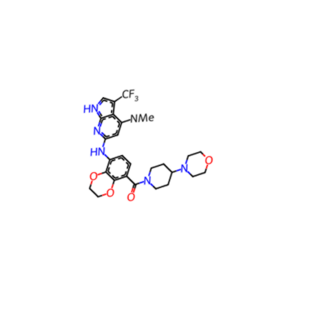 CNc1cc(Nc2ccc(C(=O)N3CCC(N4CCOCC4)CC3)c3c2OCCO3)nc2[nH]cc(C(F)(F)F)c12